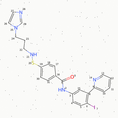 O=C(Nc1ccc(I)c(-c2ccccn2)c1)c1ccc(SNCCCn2ccnc2)cc1